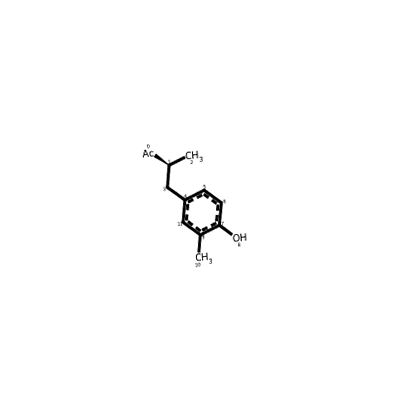 CC(=O)[C@@H](C)Cc1ccc(O)c(C)c1